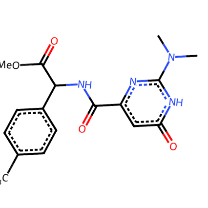 COC(=O)C(NC(=O)c1cc(=O)[nH]c(N(C)C)n1)c1ccc(C(F)(F)F)cc1